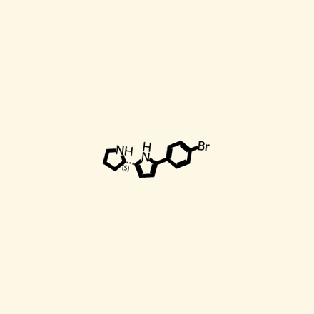 Brc1ccc(-c2ccc([C@@H]3CCCN3)[nH]2)cc1